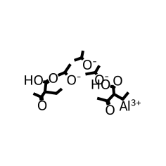 CC(C)[O-].CC(C)[O-].CC(C)[O-].CCC(C(C)=O)C(=O)O.CCC(C(C)=O)C(=O)O.[Al+3]